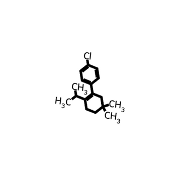 CC(C)C1=C(c2ccc(Cl)cc2)CC(C)(C)CC1